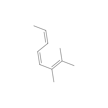 C/C=C\C=C/C(C)=C(C)C